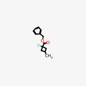 CC1CC(F)(C(=O)OCc2ccccc2)C1